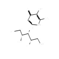 Cc1[nH]ccc(=O)c1O.OC[C@@H](O)[C@H](O)[C@@H](O)CO